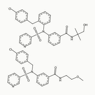 CC(C)(CO)NC(=O)c1cccc(N(c2ccccc2Cc2ccc(Cl)cc2)S(=O)(=O)c2cccnc2)c1.COCCNC(=O)c1cccc(N(Cc2ccc(Cl)cc2)S(=O)(=O)c2cccnc2)c1